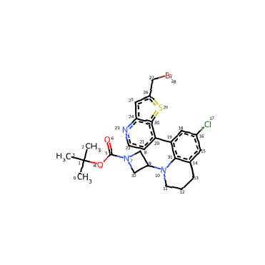 CC(C)(C)OC(=O)N1CC(N2CCCc3cc(Cl)cc(-c4ccnc5cc(CBr)sc45)c32)C1